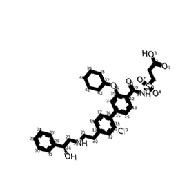 Cl.O=C(O)CCS(=O)(=O)NC(=O)c1ccc(-c2ccc(CCNC[C@@H](O)c3ccccc3)cc2)cc1OC1CCCCC1